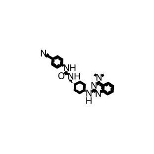 CN(C)c1nc(N[C@H]2CC[C@@H](CNC(=O)Nc3ccc(C#N)cc3)CC2)nc2ccccc12